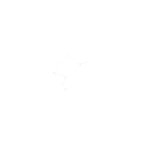 COC1=NCCN(C(F)(F)F)C1